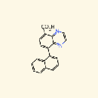 O=C(O)c1ccc(-c2cccc3ccccc23)c2nccnc12